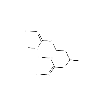 CCC(CCNC(=NC(C)C)NC(C)C)NC(=NC(C)C)NC(C)C